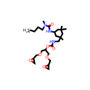 C[SiH2]CCCN(C)C(=O)NC1CC(C)(C)CC(C)(CNC(=O)OC(COCC2CO2)COCC2CO2)C1